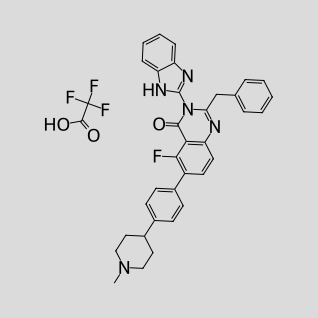 CN1CCC(c2ccc(-c3ccc4nc(Cc5ccccc5)n(-c5nc6ccccc6[nH]5)c(=O)c4c3F)cc2)CC1.O=C(O)C(F)(F)F